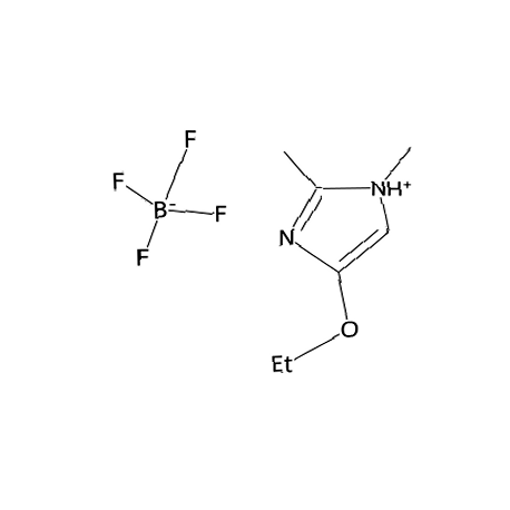 CCOC1=C[NH+](C)C(C)=N1.F[B-](F)(F)F